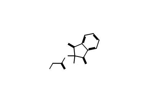 CCCCCCCCC1(OC(=O)CO)C(=O)c2ccccc2C1=O